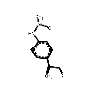 C=C(CCl)c1ccc(N[S+](C)[O-])cc1